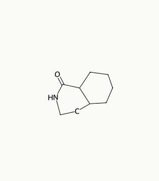 O=C1NCCC2CCCCC12